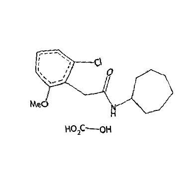 COc1cccc(Cl)c1CC(=O)NC1CCCCCC1.O=C(O)O